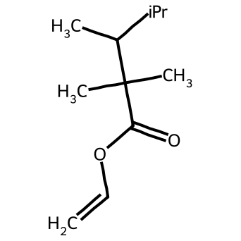 C=COC(=O)C(C)(C)C(C)C(C)C